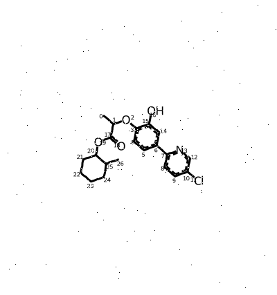 CC(Oc1ccc(-c2ccc(Cl)cn2)cc1O)C(=O)OC1CCCCC1C